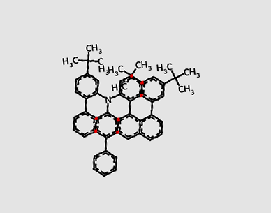 CC(C)(C)c1cc(-c2cccc3cccc(-c4ccccc4N(c4ccc(-c5ccccc5)cc4)c4cc(C(C)(C)C)ccc4-c4ccccc4)c23)cc(C(C)(C)C)c1